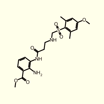 COC(=O)c1cccc(NC(=O)CCNCS(=O)(=O)c2c(C)cc(OC)cc2C)c1N